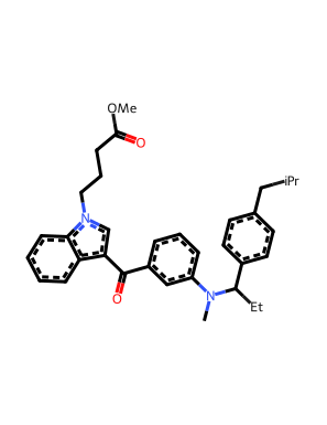 CCC(c1ccc(CC(C)C)cc1)N(C)c1cccc(C(=O)c2cn(CCCC(=O)OC)c3ccccc23)c1